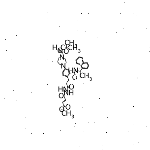 COC(=O)/C=C/C(=O)NNC(=O)CCc1ccc(N2CCCN(C(=O)OC(C)(C)C)CC2)cc1C(=O)N[C@H](C)c1cccc2ccccc12